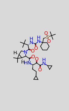 CC(C)(C)[C@H](NC(=O)NC1(CS(=O)(=O)C(C)(C)C)CCCCC1)C(=O)N1C[C@H]2[C@@H](C1C(=O)N[C@H](CCC1CC1)C(=O)C(=O)NC1CC1)C2(C)C